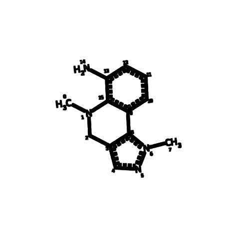 CN1Cc2cnn(C)c2-c2cccc(N)c21